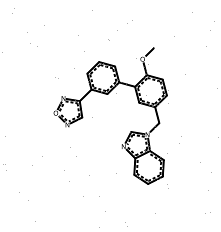 COc1ccc(Cn2cnc3ccccc32)cc1-c1cccc(-c2cnon2)c1